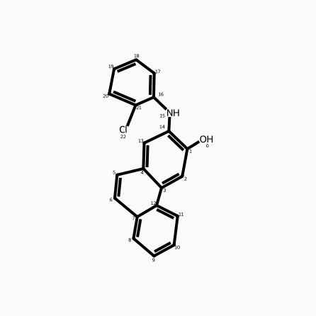 Oc1cc2c(ccc3ccccc32)cc1Nc1ccccc1Cl